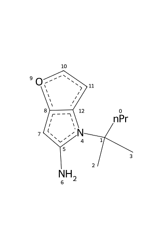 CCCC(C)(C)n1c(N)cc2occc21